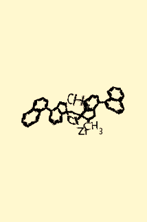 CC1=Cc2c(-c3cccc4ccccc34)cccc2C1(Cl)CC1(Cl)C(C)=Cc2c(-c3cccc4ccccc34)cccc21.[Zr]